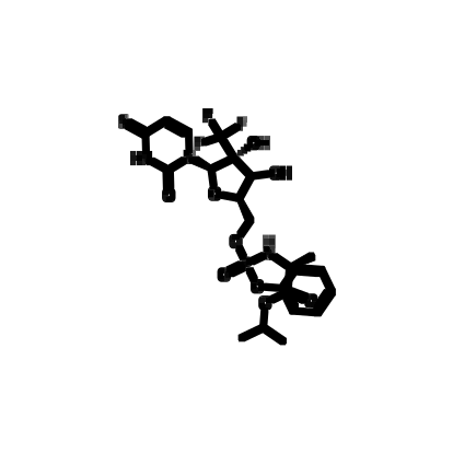 CC(C)OC(=O)[C@H](C)NP(=O)(OC[C@H]1O[C@@H](n2ccc(=S)[nH]c2=O)[C@@](O)(C(F)(F)F)C1O)Oc1ccccc1